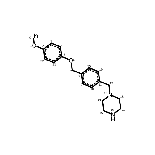 CC(C)Oc1ccc(OCc2ccc(CN3CCNCC3)cc2)cc1